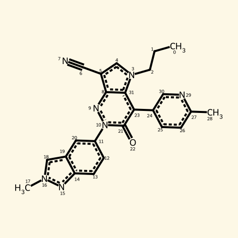 CCCn1cc(C#N)c2nn(-c3ccc4nn(C)cc4c3)c(=O)c(-c3ccc(C)nc3)c21